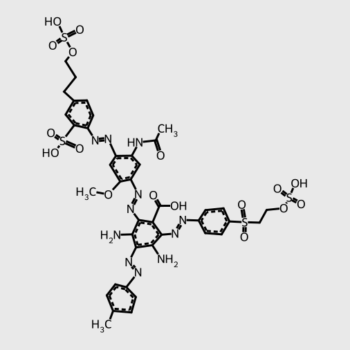 COc1cc(N=Nc2ccc(CCCOS(=O)(=O)O)cc2S(=O)(=O)O)c(NC(C)=O)cc1N=Nc1c(N)c(N=Nc2ccc(C)cc2)c(N)c(N=Nc2ccc(S(=O)(=O)CCOS(=O)(=O)O)cc2)c1C(=O)O